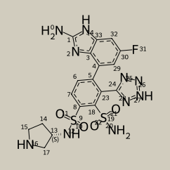 Nc1nc2c(-c3ccc(S(=O)(=O)N[C@H]4CCNC4)c(S(N)(=O)=O)c3-c3nn[nH]n3)cc(F)cc2[nH]1